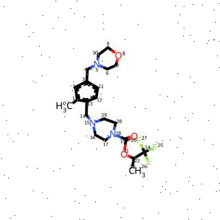 Cc1cc(CN2CCOCC2)ccc1CN1CCN(C(=O)OC(C)C(F)(F)F)CC1